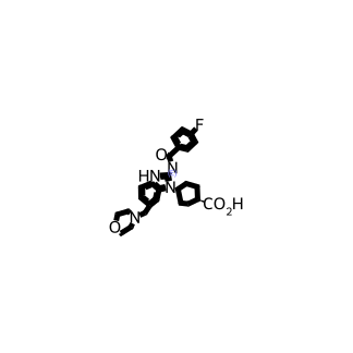 O=C(/N=c1\[nH]c2ccc(CN3CCOCC3)cc2n1[C@H]1CC[C@@H](C(=O)O)CC1)c1ccc(F)cc1